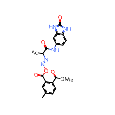 COC(=O)c1ccc(C)cc1C(=O)ON=NC(C(C)=O)C(=O)Nc1ccc2[nH]c(=O)[nH]c2c1